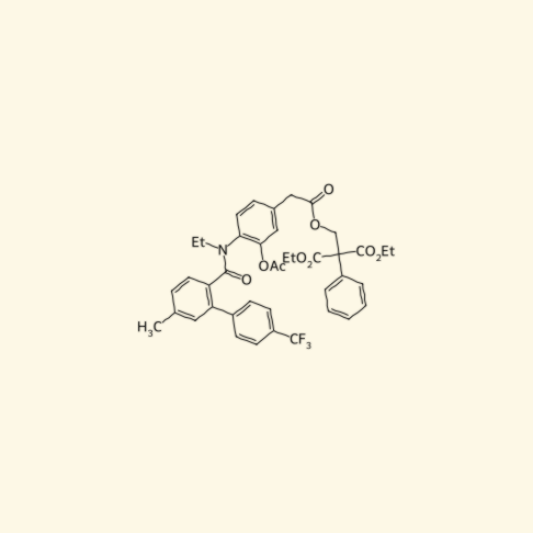 CCOC(=O)C(COC(=O)Cc1ccc(N(CC)C(=O)c2ccc(C)cc2-c2ccc(C(F)(F)F)cc2)c(OC(C)=O)c1)(C(=O)OCC)c1ccccc1